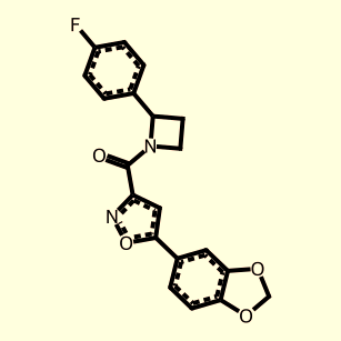 O=C(c1cc(-c2ccc3c(c2)OCO3)on1)N1CCC1c1ccc(F)cc1